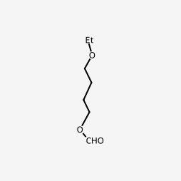 CCOCCCCOC=O